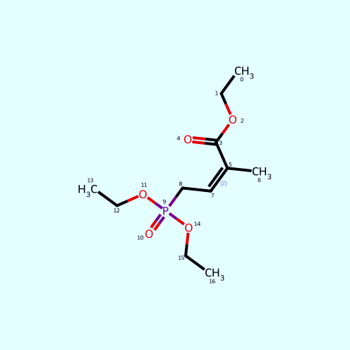 CCOC(=O)/C(C)=C\CP(=O)(OCC)OCC